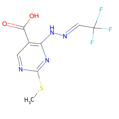 CSc1ncc(C(=O)O)c(NN=CC(F)(F)F)n1